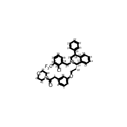 O=C(Cc1cccc(OCC[C@H]2c3ccccc3C(c3ccccc3)CN2Cc2cccc(C(F)(F)F)c2Cl)c1)N1CCOCC1